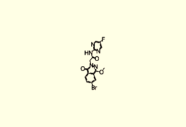 COc1nn(CC(=O)Nc2ncc(F)cn2)c(=O)c2ccc(Br)cc12